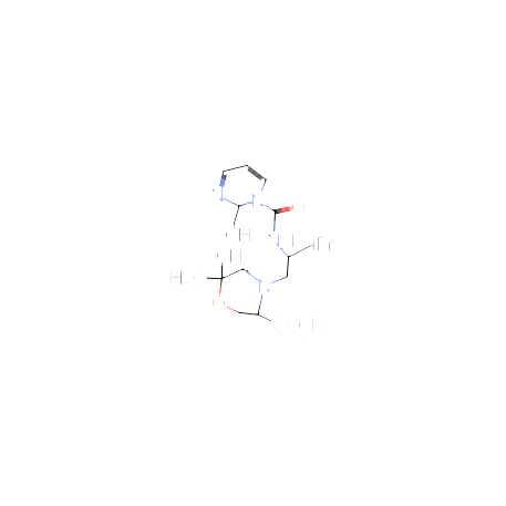 CC(C)C(CN1CC(C)(C)OCC1C(=O)O)NC(=O)N1C=CC=NC1C